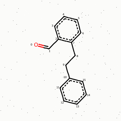 O=Cc1ccccc1CCc1ccccc1